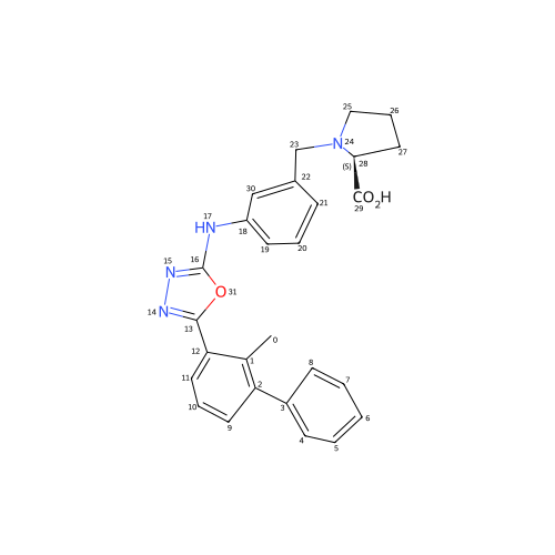 Cc1c(-c2ccccc2)cccc1-c1nnc(Nc2cccc(CN3CCC[C@H]3C(=O)O)c2)o1